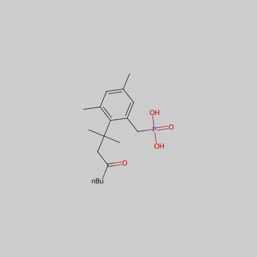 CCCCC(=O)CC(C)(C)c1c(C)cc(C)cc1CP(=O)(O)O